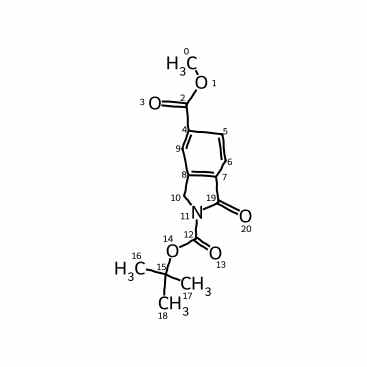 COC(=O)c1ccc2c(c1)CN(C(=O)OC(C)(C)C)C2=O